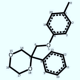 Cc1ccc(OCC2(c3ccccc3)COCCO2)cc1